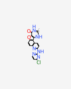 C[C@@H]1CNc2c(oc3ccc4nc(Nc5nccc(Cl)n5)ccc4c23)C(=O)N1